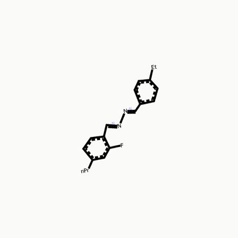 CCCc1ccc(/C=N/N=C/c2ccc(CC)cc2)c(F)c1